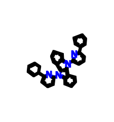 C1=CCC(c2cccc(-n3c4ccccc4c4c3c3ccccc3n4-c3cccc(-c4ccccc4)n3)n2)C=C1